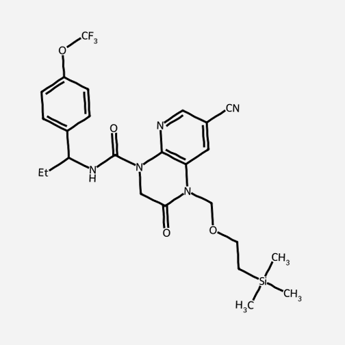 CCC(NC(=O)N1CC(=O)N(COCC[Si](C)(C)C)c2cc(C#N)cnc21)c1ccc(OC(F)(F)F)cc1